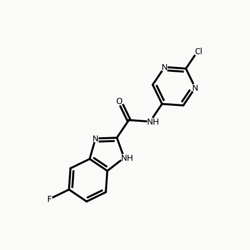 O=C(Nc1cnc(Cl)nc1)c1nc2cc(F)ccc2[nH]1